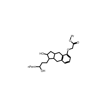 CCCCCC(O)CCC1C(O)CC2Cc3c(cccc3OCC(=O)OC(C)C)CC21